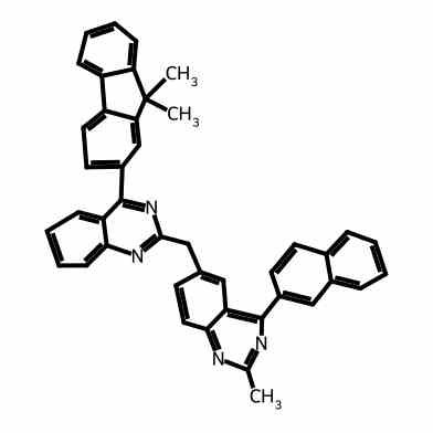 Cc1nc(-c2ccc3ccccc3c2)c2cc(Cc3nc(-c4ccc5c(c4)C(C)(C)c4ccccc4-5)c4ccccc4n3)ccc2n1